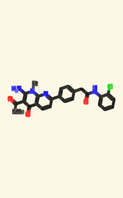 CCn1c(N)c(C(=O)NC)c(=O)c2ccc(-c3ccc(CC(=O)Nc4ccccc4Cl)cc3)nc21